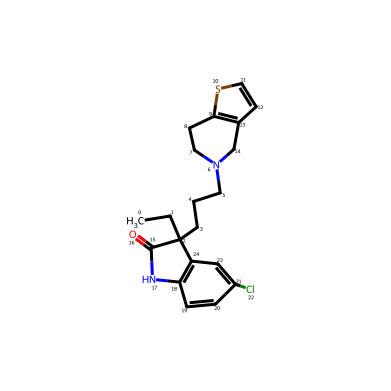 CCC1(CCCN2CCc3sccc3C2)C(=O)Nc2ccc(Cl)cc21